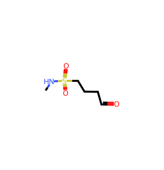 CNS(=O)(=O)CCCC=O